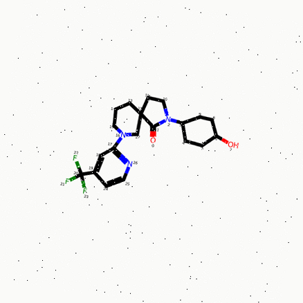 O=C1N(C2CCC(O)CC2)CCC12CCCN(c1cc(C(F)(F)F)ccn1)C2